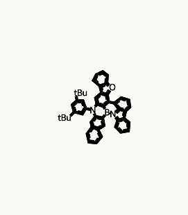 CC(C)(C)c1cc(N2c3cc4ccccc4cc3B3c4c2cc2c(oc5ccccc52)c4-c2cccc4c5ccccc5n3c24)cc(C(C)(C)C)c1